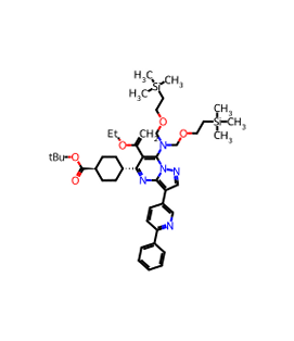 C=C(OCC)c1c(N(COCC[Si](C)(C)C)COCC[Si](C)(C)C)n2ncc(-c3ccc(-c4ccccc4)nc3)c2nc1[C@H]1CC[C@H](C(=O)OC(C)(C)C)CC1